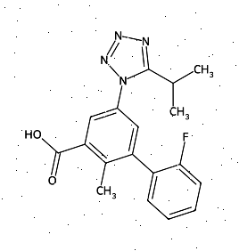 Cc1c(C(=O)O)cc(-n2nnnc2C(C)C)cc1-c1ccccc1F